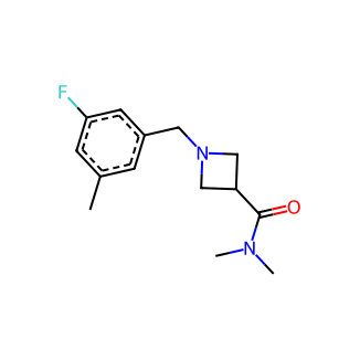 Cc1cc(F)cc(CN2CC(C(=O)N(C)C)C2)c1